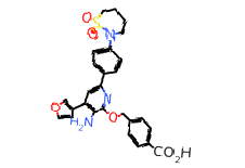 Nc1c(-c2ccoc2)cc(-c2ccc(N3CCCCS3(=O)=O)cc2)nc1OCc1ccc(C(=O)O)cc1